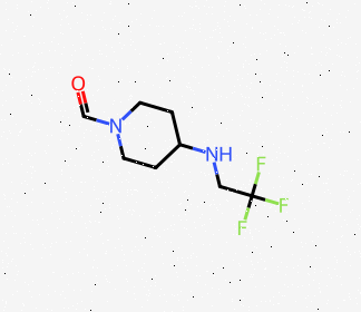 O=CN1CCC(NCC(F)(F)F)CC1